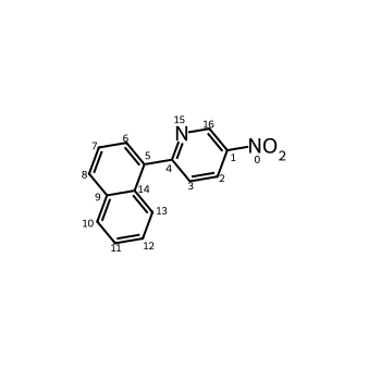 O=[N+]([O-])c1ccc(-c2cccc3ccccc23)nc1